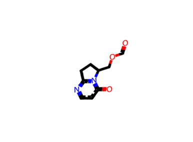 O=COCC1CCc2nccc(=O)n21